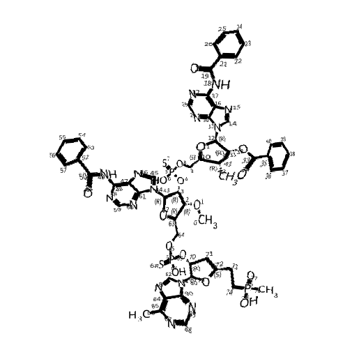 CO[C@H]1[C@@H](OP(O)(=S)OC[C@H]2O[C@@H](n3cnc4c(NC(=O)c5ccccc5)ncnc43)[C@H](OC(=O)c3ccccc3)[C@@H]2C)[C@H](n2cnc3c(NC(=O)c4ccccc4)ncnc32)O[C@@H]1COP(O)(=S)O[C@@H]1C[C@@H](CCP(C)(=O)O)O[C@H]1n1cnc2c(C)ncnc21